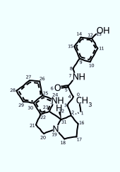 CC[C@]1(CCC(=O)NCc2ccc(O)cc2)CCCN2CCc3c([nH]c4ccccc34)[C@@H]21